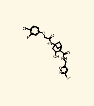 CC(C)c1cc(CNC(=O)C2=C3CC(NC(=O)COc4ccc(Cl)c(F)c4)(C3)CC2O)on1